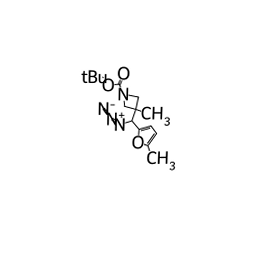 Cc1ccc(C(N=[N+]=[N-])C2(C)CN(C(=O)OC(C)(C)C)C2)o1